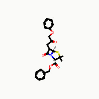 CC1(C)S[C@@H]2C(CC(=O)COc3ccccc3)C(=O)N2[C@H]1C(=O)OCc1ccccc1